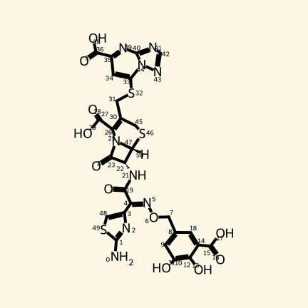 Nc1nc(C(=NOCc2cc(O)c(O)c(C(=O)O)c2)C(=O)N[C@@H]2C(=O)N3C(C(=O)O)=C(CSc4cc(C(=O)O)nc5ncnn45)CS[C@H]23)cs1